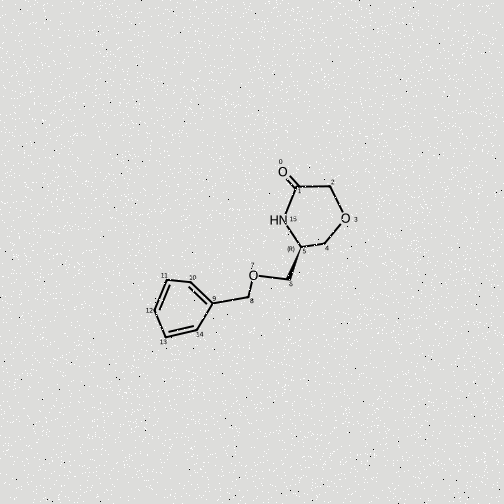 O=C1COC[C@@H](COCc2ccccc2)N1